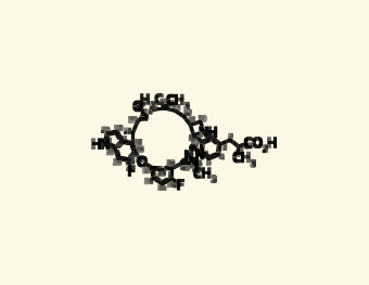 CC(Cc1cccc(C23NCC2CCC(C)(C)C[S+]([O-])CCc2c(c(F)cc4[nH]ccc24)Oc2ccc(F)c(c2)-c2nc3nn2C)c1)C(=O)O